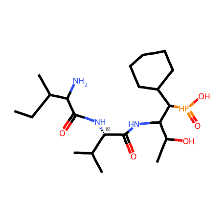 CCC(C)C(N)C(=O)N[C@H](C(=O)NC(C(C)O)C(C1CCCCC1)[PH](=O)O)C(C)C